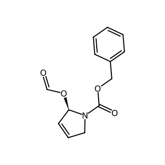 O=CO[C@@H]1C=CCN1C(=O)OCc1ccccc1